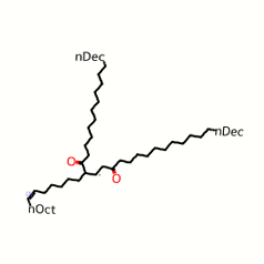 CCCCCCCC/C=C\CCCCCC([CH]CC(=O)CCCCCCCCCCCCCCCCCCCCC)C(=O)CCCCCCCCCCCCCCCCCCCCC